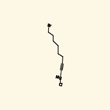 [Cl][Mg][C]#CCCCCCCBr